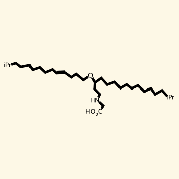 CC(C)CCCCCCCC=CCCCOC(CCCCCCCCCCCC(C)C)CCNCC(=O)O